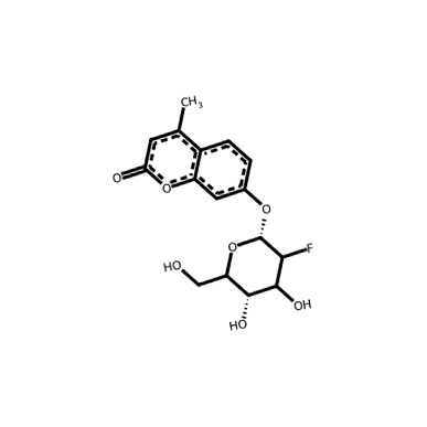 Cc1cc(=O)oc2cc(O[C@H]3OC(CO)[C@@H](O)C(O)C3F)ccc12